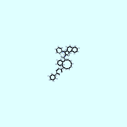 C=C(/C=C\C(=C)c1ccccccc(/C(C)=c2\oc3c(ccc4ccccc43)\c2=C2/C=CC=CC2)c2ccccc12)c1ccccc1